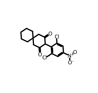 O=C1CC2(CCCCC2)CC(=O)C1c1c(Cl)cc([N+](=O)[O-])cc1Cl